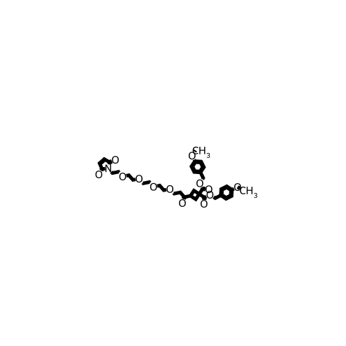 COc1ccc(COC(=O)C2(C(=O)OCc3ccc(OC)cc3)CC(C(=O)CCOCCOCCOCCOCCN3C(=O)C=CC3=O)C2)cc1